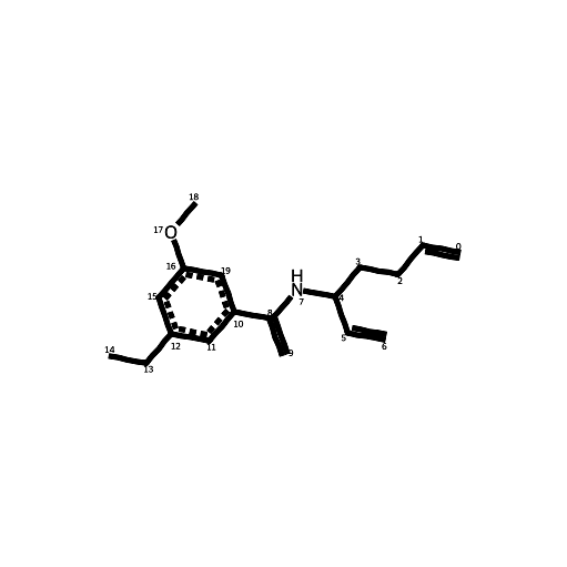 C=CCCC(C=C)NC(=C)c1cc(CC)cc(OC)c1